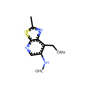 COCc1c(NC=O)cnc2sc(C)nc12